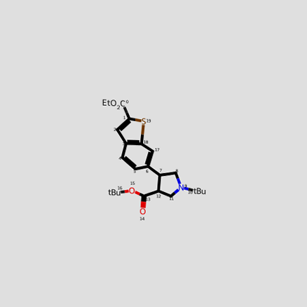 CCOC(=O)c1cc2ccc(C3CN(C(C)(C)C)CC3C(=O)OC(C)(C)C)cc2s1